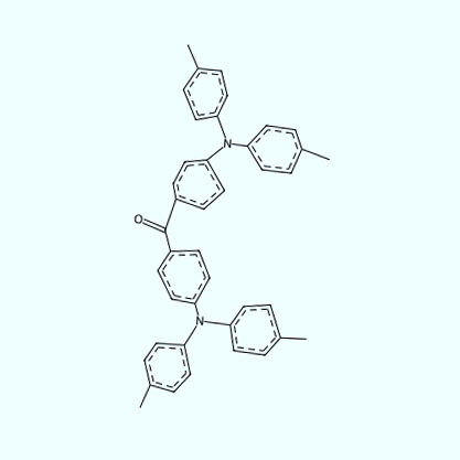 Cc1ccc(N(c2ccc(C)cc2)c2ccc(C(=O)c3ccc(N(c4ccc(C)cc4)c4ccc(C)cc4)cc3)cc2)cc1